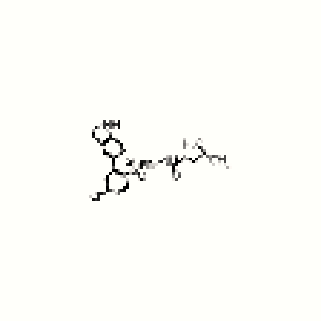 CC(C)CCC(=O)NNCS(=O)(=O)c1ccc(Cl)cc1-c1ccc2c(c1)CCN2